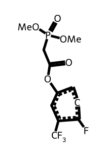 COP(=O)(CC(=O)Oc1ccc(F)c(C(F)(F)F)c1)OC